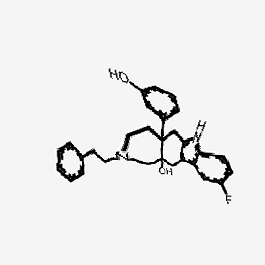 Oc1cccc(C23CCN(CCc4ccccc4)CC2(O)Cc2c([nH]c4ccc(F)cc24)C3)c1